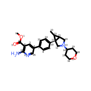 COC(=O)c1cc(-c2ccc([C@]34CN(C5CCOCC5)CC3C4C)cc2)cnc1N